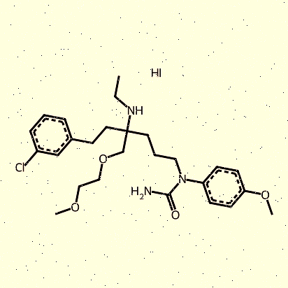 CCNC(CCCN(C(N)=O)c1ccc(OC)cc1)(CCc1cccc(Cl)c1)COCCOC.I